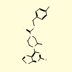 Cc1ccc(CNC(=O)N2CCN(c3nc(N)nc4scnc34)C(C)C2)cc1